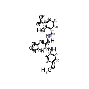 COc1ccc(Nc2nc3nonc3nc2N/N=C/c2cccc([N+](=O)[O-])c2O)cc1